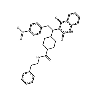 O=C(NCCc1ccccc1)C1CCC(C(Cc2ccc([N+](=O)[O-])cc2)n2c(=O)[nH]c3ccccc3c2=O)CC1